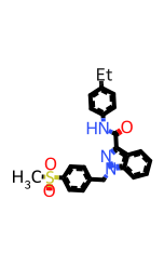 CCc1ccc(NC(=O)c2nn(Cc3ccc(S(C)(=O)=O)cc3)c3ccccc23)cc1